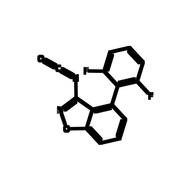 O=C=Nc1noc2cccc(-c3c(F)cccc3F)c12